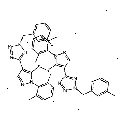 Cc1cccc(Cn2nnc(-c3cnn(-c4c(C)cccc4C)c3SSc3c(-c4nnn(Cc5cccc(C)c5)n4)cnn3-c3c(C)cccc3C)n2)c1